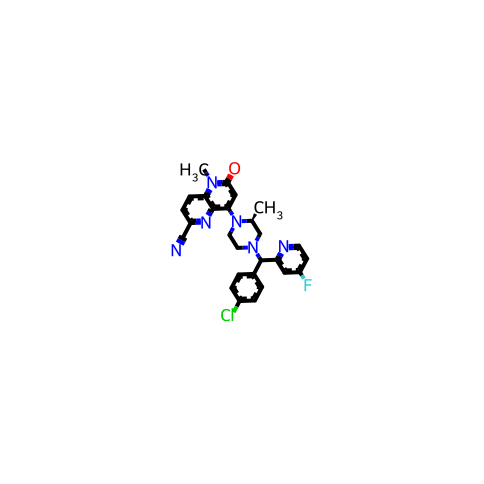 C[C@H]1CN(C(c2ccc(Cl)cc2)c2cc(F)ccn2)CCN1c1cc(=O)n(C)c2ccc(C#N)nc12